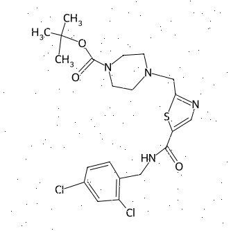 CC(C)(C)OC(=O)N1CCN(Cc2ncc(C(=O)NCc3ccc(Cl)cc3Cl)s2)CC1